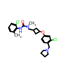 Cc1cccc(Cl)c1NC(=O)N(C)CC1CC(Oc2ccc(CN3CCCC3)c(Cl)c2)C1